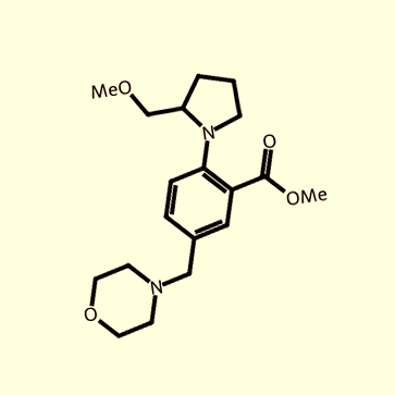 COCC1CCCN1c1ccc(CN2CCOCC2)cc1C(=O)OC